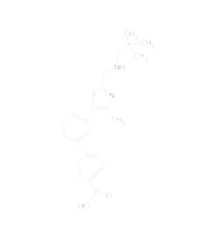 Cc1nc(CNCC(C)(C)C)sc1-c1cccc(-c2ccc(C(=O)O)cc2)c1